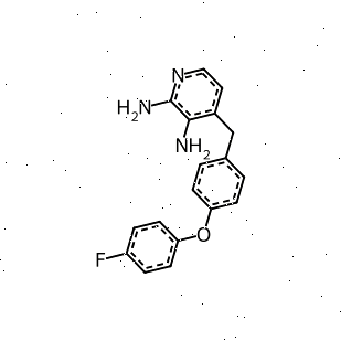 Nc1nccc(Cc2ccc(Oc3ccc(F)cc3)cc2)c1N